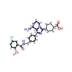 COc1ccc(F)cc1C(=O)NCc1ccc(-c2nc(C3CCC(C(=O)O)CC3)n3ccnc(N)c23)cc1